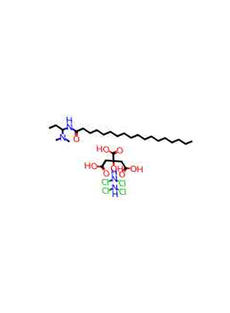 CCCCCCCCCCCCCCCCCC(=O)NC(CC)N(C)C.ClNCl.ClNCl.O=C(O)CC(O)(CC(=O)O)C(=O)O